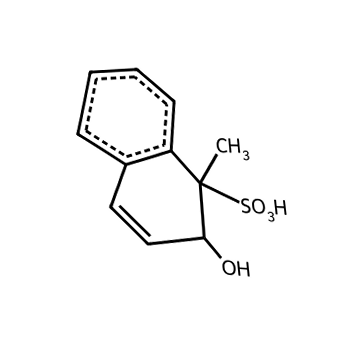 CC1(S(=O)(=O)O)c2ccccc2C=CC1O